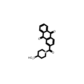 O=C1c2ccccc2C(=O)c2cc(C(=O)N3CCC(S(=O)(=O)O)CC3)ccc21